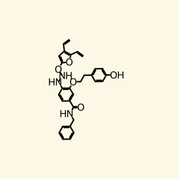 C=Cc1cc(ONNc2ccc(C(=O)NCc3ccccc3)cc2OCCc2ccc(O)cc2)oc1C=C